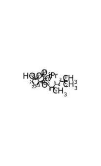 CC(C)=CCCC(C)=CCOc1c(OC(C)C)c(=O)oc2c(O)cccc12